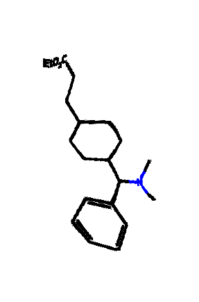 CCOC(=O)CCC1CCC(C(c2ccccc2)N(C)C)CC1